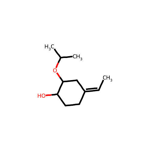 C/C=C1/CCC(O)C(OC(C)C)C1